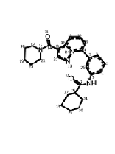 O=C(Nc1cccc(-c2cccc3c(C(=O)N4CCCCC4)cnn23)c1)C1CCCCC1